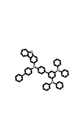 c1ccc(-c2ccc(N(c3ccc(-c4cc(N(c5ccccc5)c5ccccc5)cc(N(c5ccccc5)c5ccccc5)c4)cc3)c3ccc4sc5ccccc5c4c3)cc2)cc1